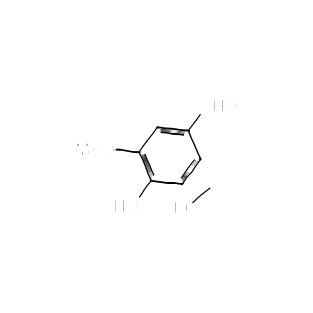 CCC.COc1cc(C=O)ccc1O